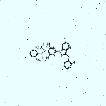 CC(C)c1ccccc1CN(C(=O)O)c1c(N)nc(-n2nc(Cc3ccccc3F)c3ncc(F)cc32)nc1N